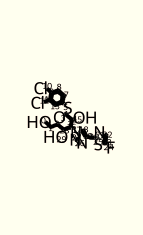 OCC1OC(Sc2ccc(Cl)c(Cl)c2)C(O)C(n2cc(-c3ncc(F)s3)nn2)C1O